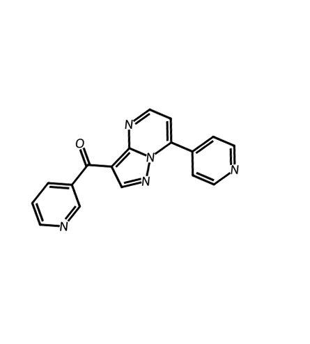 O=C(c1cccnc1)c1cnn2c(-c3ccncc3)ccnc12